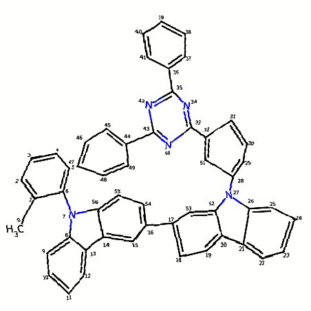 Cc1ccccc1-n1c2ccccc2c2cc(-c3ccc4c5ccccc5n(-c5cccc(-c6nc(-c7ccccc7)nc(-c7ccccc7)n6)c5)c4c3)ccc21